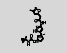 Cc1cc(CC(=O)Nc2cc([C@@]3(C)CC[C@H](OC(=O)NC4(C)CC4)C3)[nH]n2)on1